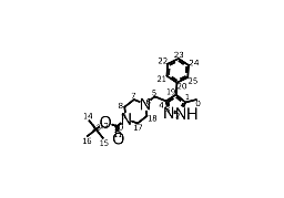 Cc1[nH]nc(CN2CCN(C(=O)OC(C)(C)C)CC2)c1-c1ccccc1